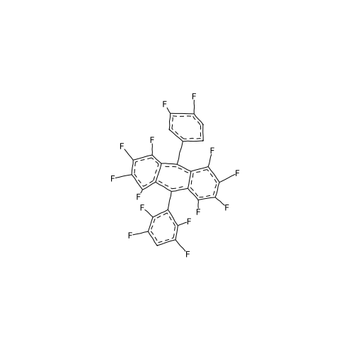 Fc1ccc(-c2c3c(F)c(F)c(F)c(F)c3c(-c3c(F)c(F)cc(F)c3F)c3c(F)c(F)c(F)c(F)c23)cc1F